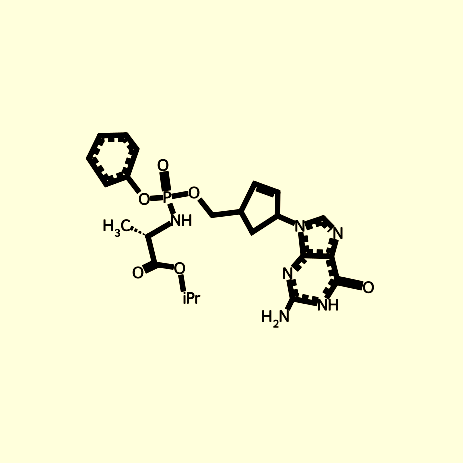 CC(C)OC(=O)[C@H](C)NP(=O)(OCC1C=CC(n2cnc3c(=O)[nH]c(N)nc32)C1)Oc1ccccc1